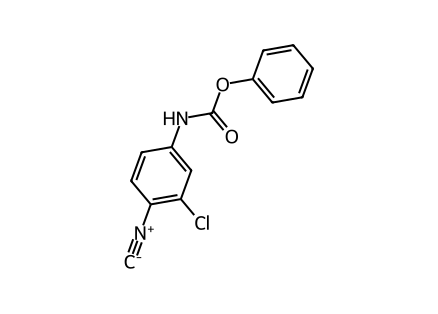 [C-]#[N+]c1ccc(NC(=O)Oc2ccccc2)cc1Cl